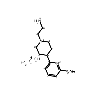 COc1cccc(C2CCN(CCN)CC2)n1.Cl.Cl.Cl